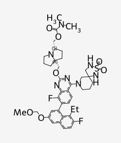 CCc1c(F)ccc2cc(OCOC)cc(-c3ccc4c(N5CCCC6(CNS(=O)(=O)N6)C5)nc(OC[C@]56CCCN5[C@H](COC(=O)N(C)C)CC6)nc4c3F)c12